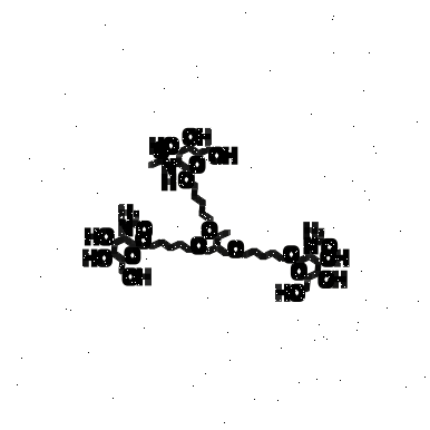 CC(=O)NC1C(OCCCCCOCC(COCCCCCOC2OC(CO)C(O)C(O)C2NC(C)=O)=C(C)OCCCCCOC2OC(CO)C(O)C(O)C2NC(C)=O)OC(CO)C(O)C1O